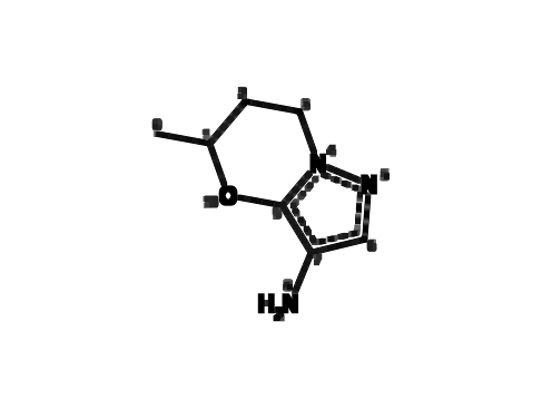 CC1CCn2ncc(N)c2O1